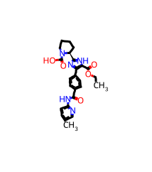 CCOC(=O)c1[nH]c([C@@H]2CCCCN2C(=O)O)nc1-c1ccc(C(=O)Nc2ccc(C)cn2)cc1